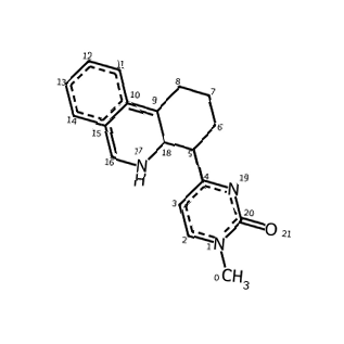 Cn1ccc(C2CCCC3=c4ccccc4=CNC32)nc1=O